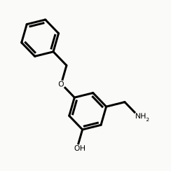 NCc1cc(O)cc(OCc2ccccc2)c1